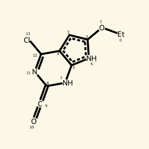 CCOc1cc2c([nH]1)NC(=C=O)N=C2Cl